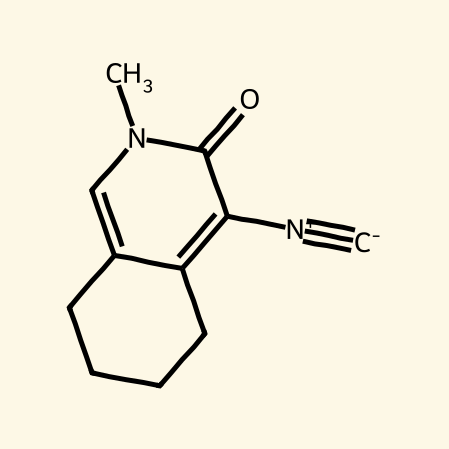 [C-]#[N+]c1c2c(cn(C)c1=O)CCCC2